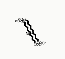 CCCCCCCCC=CCCCCCCCC(=O)[O-].CCCCCCCCC=CCCCCCCCC(=O)[O-].[Ni+2]